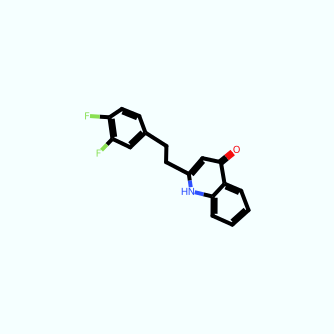 O=c1cc(CCc2ccc(F)c(F)c2)[nH]c2ccccc12